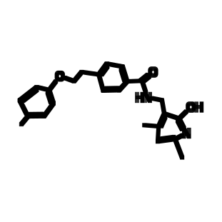 Cc1ccc(OCCc2ccc(C(=O)NCc3c(C)cc(C)nc3O)cc2)cc1